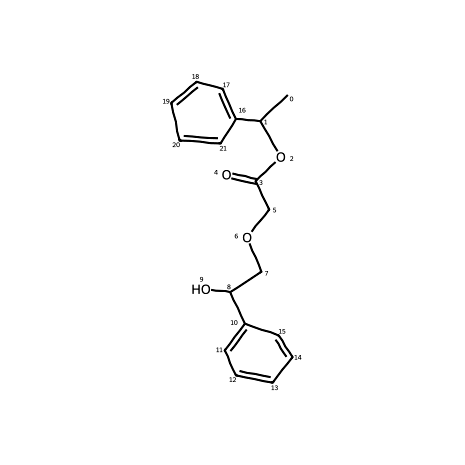 CC(OC(=O)COCC(O)c1ccccc1)c1ccccc1